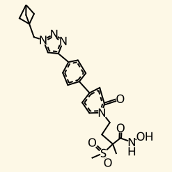 CC(CCn1ccc(-c2ccc(-c3cn(CC45CC(C4)C5)nn3)cc2)cc1=O)(C(=O)NO)S(C)(=O)=O